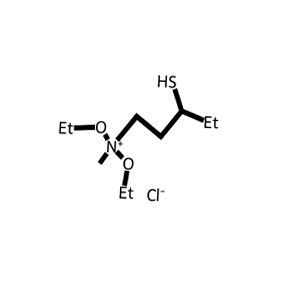 CCO[N+](C)(CCC(S)CC)OCC.[Cl-]